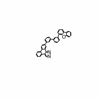 c1cc(-c2cccc(-c3cccc4c3oc3ccccc34)c2)cc(-c2ccc3c4ccccc4c4cncnc4c3c2)c1